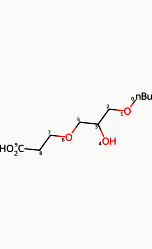 CCCCOCC(O)COCCC(=O)O